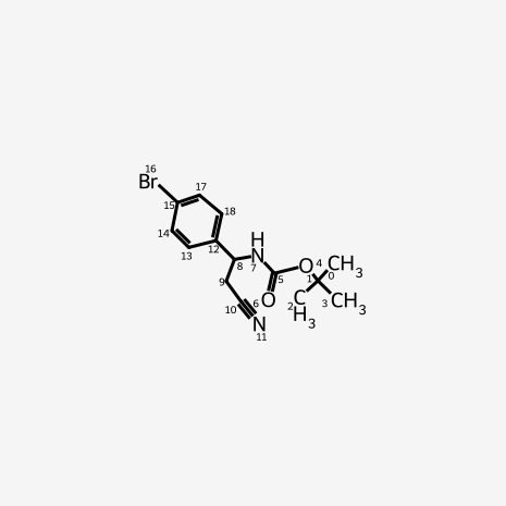 CC(C)(C)OC(=O)NC(CC#N)c1ccc(Br)cc1